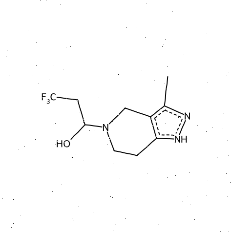 Cc1n[nH]c2c1CN(C(O)CC(F)(F)F)CC2